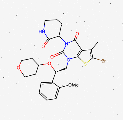 COc1ccccc1[C@H](Cn1c(=O)n(C2CCCNC2=O)c(=O)c2c(C)c(Br)sc21)OC1CCOCC1